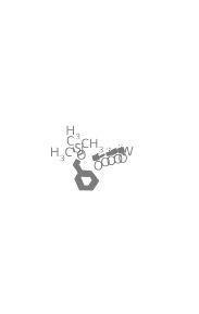 C[Si](C)(C)O[C]c1ccccc1.[C]=O.[C]=O.[C]=O.[C]=O.[C]=O.[W]